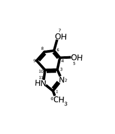 Cc1nc2c(O)c(O)ccc2[nH]1